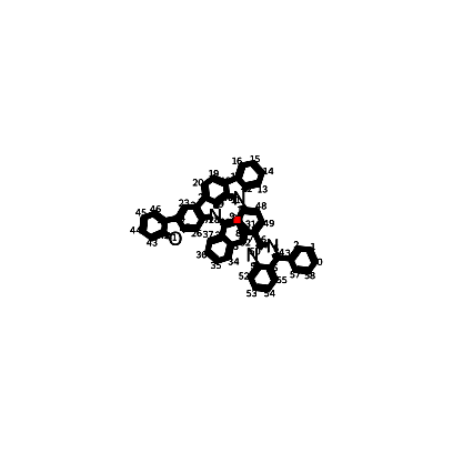 c1ccc(-c2nc(-c3ccc(-n4c5ccccc5c5ccc6c7cc8c(cc7n(-c7cccc9ccccc79)c6c54)oc4ccccc48)cc3)nc3ccccc23)cc1